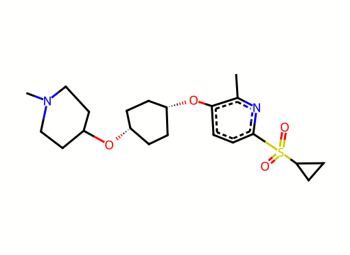 Cc1nc(S(=O)(=O)C2CC2)ccc1O[C@H]1CC[C@@H](OC2CCN(C)CC2)CC1